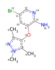 Cc1nn(C)c(C)c1Oc1cc(Br)cnc1N